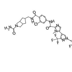 Cn1c(-c2cn(C3CC3(F)F)nc2C(F)(F)F)cnc1C(=O)Nc1ccc(C(=O)NCC2CC3CN(C(N)=O)CC3C2)c(Cl)c1